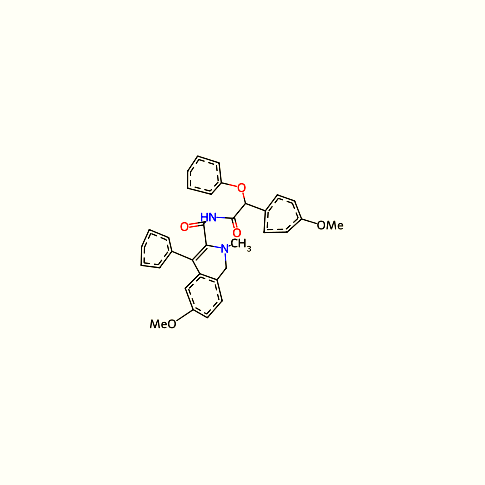 COc1ccc(C(Oc2ccccc2)C(=O)NC(=O)C2=C(c3ccccc3)c3cc(OC)ccc3CN2C)cc1